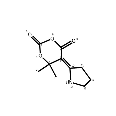 CC1(C)OC(=O)OC(=O)C1=C1CCCN1